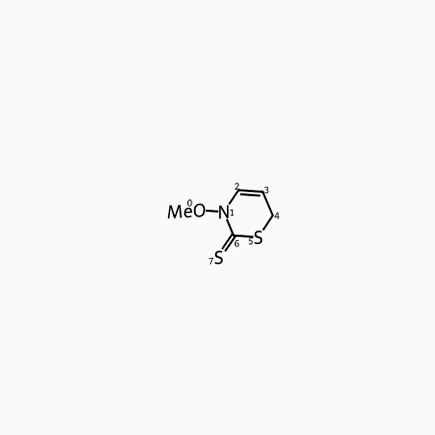 CON1C=CCSC1=S